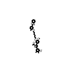 COc1ccc(-c2cc(-c3cc(C)c(C)c(OC)c3)nn2C(C)=O)cc1OCCCCCCOc1cc(-c2nc3ccccc3s2)ccc1C